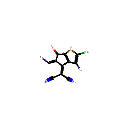 N#CC(C#N)=C1/C(=C/I)C(=O)c2sc(F)c(I)c21